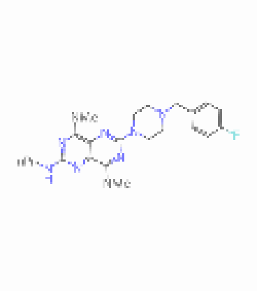 CCCNc1nc(NC)c2nc(N3CCN(Cc4ccc(F)cc4)CC3)nc(NC)c2n1